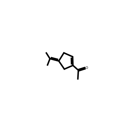 CC(=O)C1=CCC(=C(C)C)C1